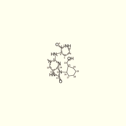 O=c1[nH]cccc1Nc1ncc2[nH]c(=O)n(C3CCCCC3CO)c2n1